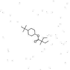 CCC(C)(CC)C(=O)OC1CCC(C(C)(C)C)CC1